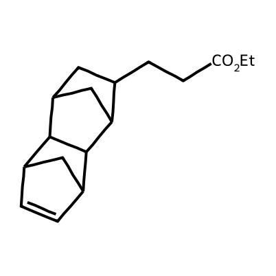 CCOC(=O)CCC1CC2CC1C1C3C=CC(C3)C21